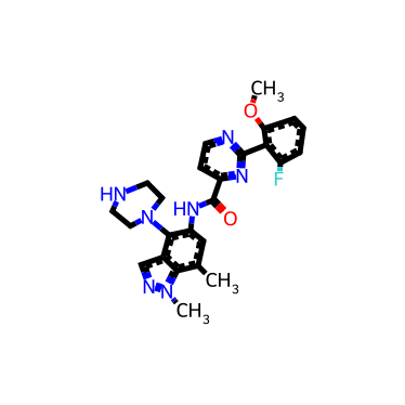 COc1cccc(F)c1-c1nccc(C(=O)Nc2cc(C)c3c(cnn3C)c2N2CCNCC2)n1